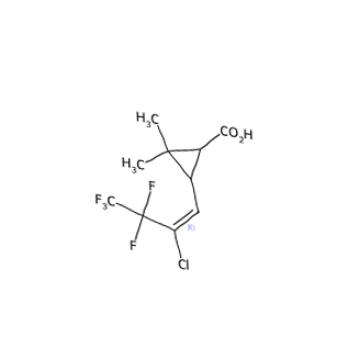 CC1(C)C(/C=C(/Cl)C(F)(F)C(F)(F)F)C1C(=O)O